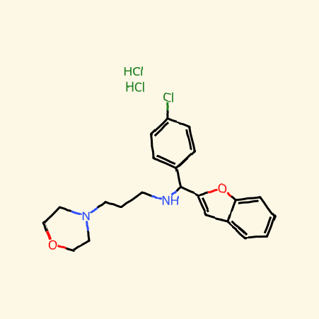 Cl.Cl.Clc1ccc(C(NCCCN2CCOCC2)c2cc3ccccc3o2)cc1